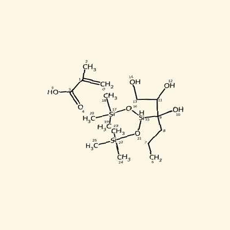 C=C(C)C(=O)O.CCCC(O)(C(O)CO)[SiH](O[Si](C)(C)C)O[Si](C)(C)C